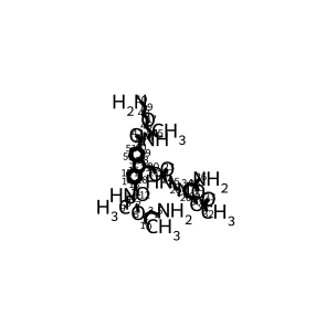 CCC(CCN)OCP(C)NC(=O)c1ccc2c(c1)C(COC(=O)NCCN(CCOC(C)=O)CC(N)=O)c1cc(C(=O)NC(C)COCCN)ccc1-2